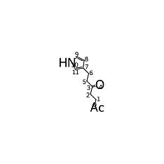 CC(=O)CCC(=O)CCc1cc[nH]c1